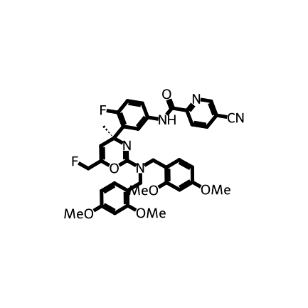 COc1ccc(CN(Cc2ccc(OC)cc2OC)C2=N[C@](C)(c3cc(NC(=O)c4ccc(C#N)cn4)ccc3F)C=C(CF)O2)c(OC)c1